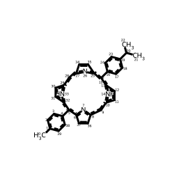 Cc1ccc(-c2c3nc(cc4ccc([nH]4)c(-c4ccc(C(C)C)cc4)c4nc(cc5ccc2[nH]5)C=C4)C=C3)cc1